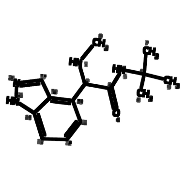 CNC(C(=O)NC(C)(C)C)c1cccc2[nH]ncc12